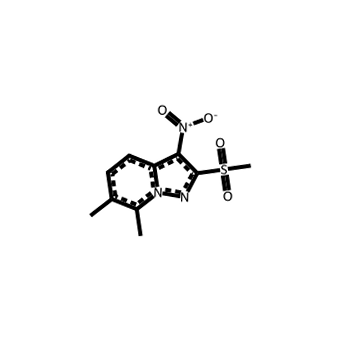 Cc1ccc2c([N+](=O)[O-])c(S(C)(=O)=O)nn2c1C